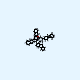 c1ccc2c(c1)Cc1c-2ccc(-n2c3ccccc3c3cc4ccccc4cc32)c1-c1nc(-c2ccc3ccccc3c2)nc(-c2ccc3c(c2)sc2ccccc23)n1